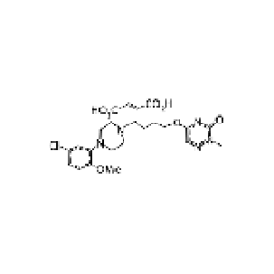 COc1ccc(Cl)cc1N1CCN(CCCCOc2cnn(C)c(=O)n2)CC1.O=C(O)C=CC(=O)O